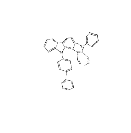 C=Cc1c(/C=C\C)n(-c2ccccc2)c2ccc3c4ccccc4n(-c4ccc(-c5ccccc5)cc4)c3c12